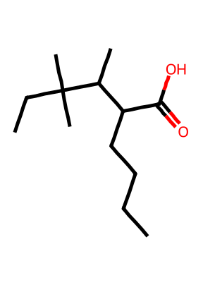 CCCCC(C(=O)O)C(C)C(C)(C)CC